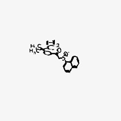 CC(C)(C)OC(=O)C[S+]([O-])c1cccc2ccccc12